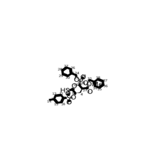 COC(=O)[C@@H](C[C@H](OS(=O)(=O)c1ccc(C)cc1)C(=O)S)CP(=O)(OCc1ccccc1)OCc1ccccc1